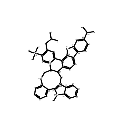 CC(C)Cc1cc2[n+](cc1[Si](C)(C)C)C1COc3ccccc3-c3n(C)c4ccccc4[n+]3CC1c1ccc3c(oc4cc(C(C)C)ccc43)c1-2